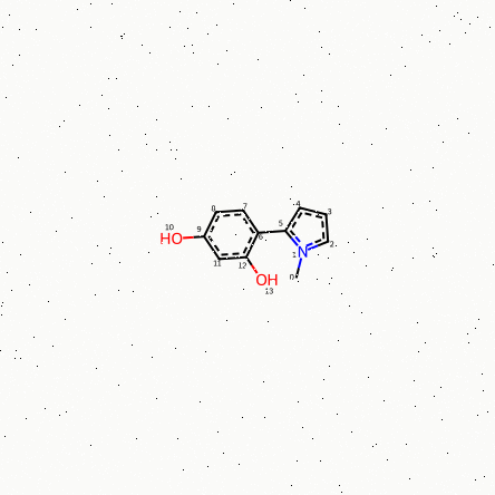 Cn1cccc1-c1ccc(O)cc1O